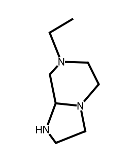 CCN1CCN2CCNC2C1